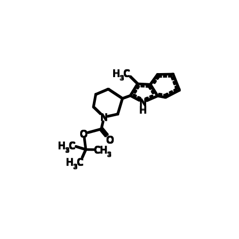 Cc1c(C2CCCN(C(=O)OC(C)(C)C)C2)[nH]c2ccccc12